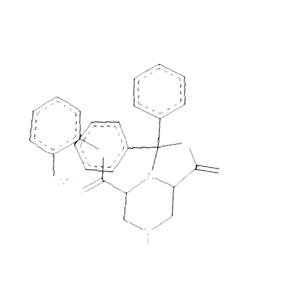 COc1ccccc1OC(=O)C1CNCC2C(=O)OC(c3ccccc3)(c3ccccc3)N12